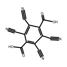 N#Cc1c(C#N)c(C(=O)O)c(C#N)c(C#N)c1C(=O)O